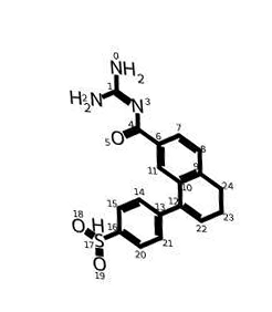 NC(N)=NC(=O)c1ccc2c(c1)C(c1ccc([SH](=O)=O)cc1)=CCC2